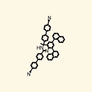 CC1(c2ccc(-c3ccc(C#N)cc3)cc2)NC(c2ccc(-c3ccc(C#N)cc3)cc2)=Nc2c(-c3cccc4ccccc34)cc(-c3cccc4ccccc34)cc21